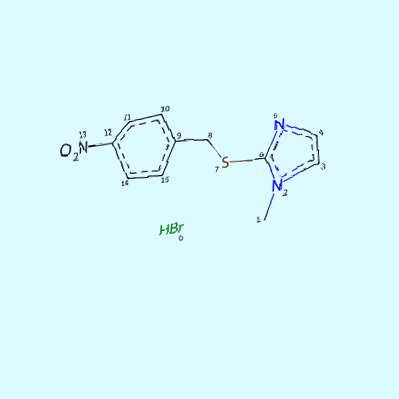 Br.Cn1ccnc1SCc1ccc([N+](=O)[O-])cc1